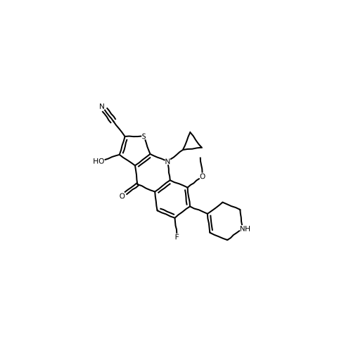 COc1c(C2=CCNCC2)c(F)cc2c(=O)c3c(O)c(C#N)sc3n(C3CC3)c12